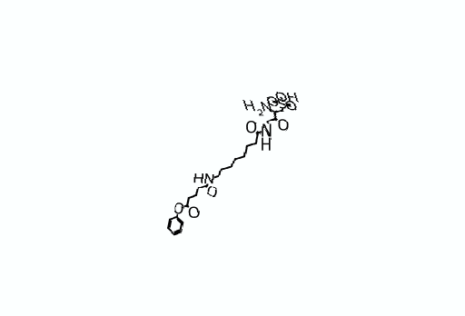 NC(CS(=O)(=O)O)C(=O)CNC(=O)CCCCCCCNC(=O)CCCC(=O)Oc1ccccc1